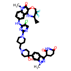 Cn1nc(C2CCC(=O)NC2=O)c2ccc(C3(O)CCN(CC4CCN(c5ncc(Cl)c(Nc6ccc7c(c6)c6c(c(=O)n7C)OCC(F)(F)C(C7CC7)N6)n5)CC4)CC3)cc21